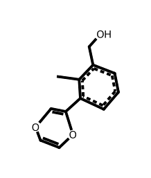 Cc1c(CO)cccc1C1=COC=CO1